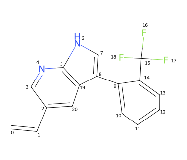 C=Cc1cnc2[nH]cc(-c3ccccc3C(F)(F)F)c2c1